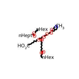 CCCCCC/C=C\COC(=O)CCCCCCCOC(COCCCCCCCC(=O)O)COCCOCCOC(=O)CC1CCN(C)CC1.CCCCCCC=CCOC(=O)CCCCCCC